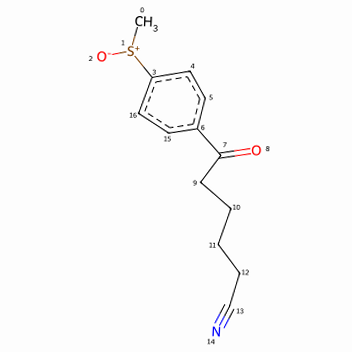 C[S+]([O-])c1ccc(C(=O)CCCCC#N)cc1